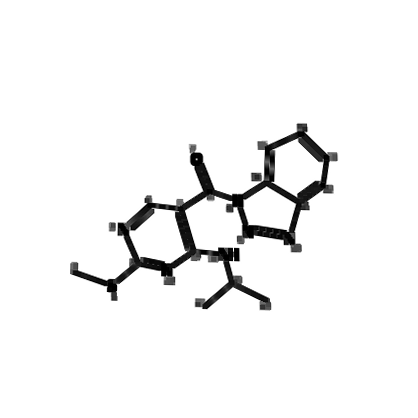 CSc1ncc(C(=O)n2nnc3ccccc32)c(NC(C)C)n1